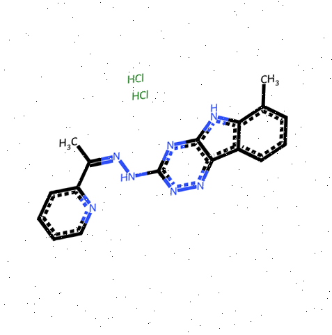 CC(=NNc1nnc2c(n1)[nH]c1c(C)cccc12)c1ccccn1.Cl.Cl